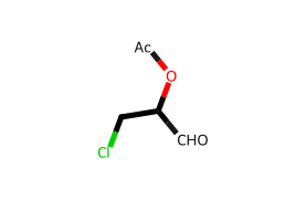 CC(=O)OC(C=O)CCl